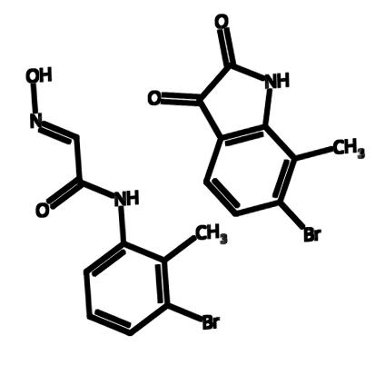 Cc1c(Br)ccc2c1NC(=O)C2=O.Cc1c(Br)cccc1NC(=O)C=NO